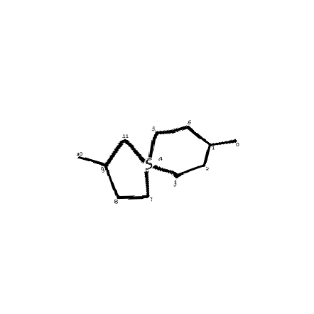 CC1CCS2(CC1)CCC(C)C2